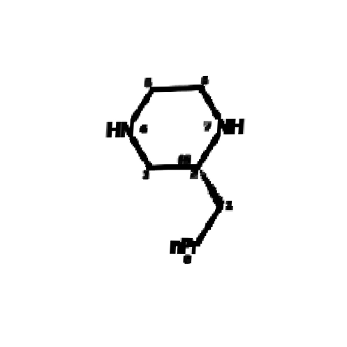 CCCC[C@@H]1CNCCN1